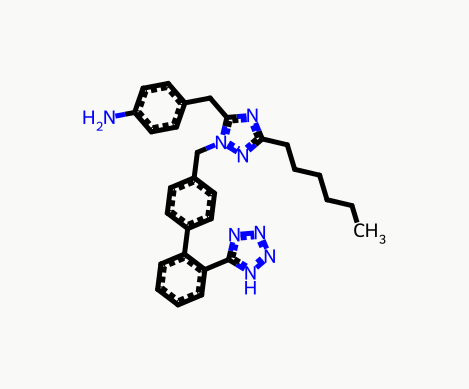 CCCCCCc1nc(Cc2ccc(N)cc2)n(Cc2ccc(-c3ccccc3-c3nnn[nH]3)cc2)n1